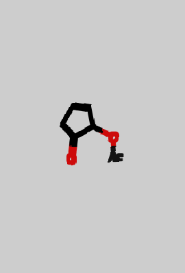 CC(=O)OC1C=CCC1=O